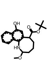 COC1CCCC(C(=O)OC(C)(C)C)c2cc(O)c3ccccc3c2N1